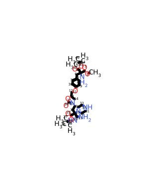 COC(=O)C(N)(Cc1ccc(OCC2CN(CCC(C(=N)N)(C(=O)OC(C)(C)C)N3CCNCC3)C(=O)O2)cc1)C(=O)OC(C)(C)C